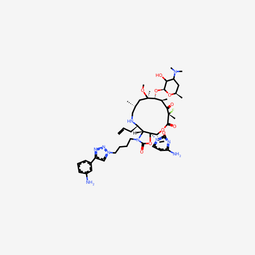 C=CC[C@H]1NC[C@H](C)C[C@@](C)(OC)[C@H](O[C@@H]2O[C@H](C)CC(N(C)C)C2O)[C@@H](C)C(=O)[C@](C)(F)C(=O)O[C@H](CC)[C@@]2(n3ccc(N)nc3=O)OC(=O)N(CCCCn3cc(-c4cccc(N)c4)nn3)[C@H]12